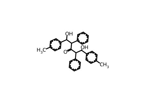 Cc1ccc(C(O)C(C(=O)C(c2ccccc2)C(O)c2ccc(C)cc2)c2ccccc2)cc1